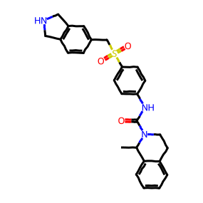 CC1c2ccccc2CCN1C(=O)Nc1ccc(S(=O)(=O)Cc2ccc3c(c2)CNC3)cc1